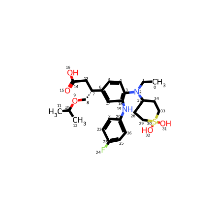 CCN(c1ccc([C@H](COC(C)C)CC(=O)O)cc1Nc1ccc(F)cc1)C1CCS(O)(O)CC1